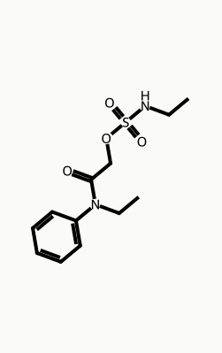 CCNS(=O)(=O)OCC(=O)N(CC)c1ccccc1